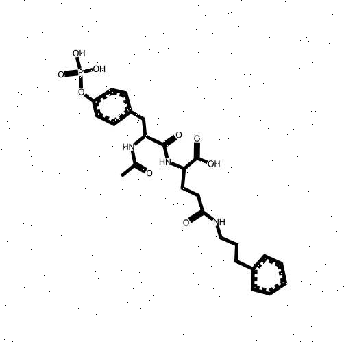 CC(=O)NC(Cc1ccc(OP(=O)(O)O)cc1)C(=O)NC(CCC(=O)NCCCc1ccccc1)C(=O)O